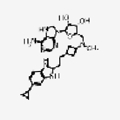 CN(C[C@H]1O[C@@H](N2CNc3c(N)ncnc32)[C@H](O)[C@@H]1O)C1CC(CCC2Nc3ccc(C4CC4)cc3N2)C1